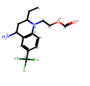 CCC1CC(N)c2cc(C(F)(F)F)ccc2N1CCOC=O